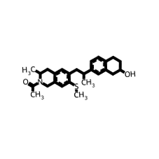 CSc1cc2c(cc1CC(C)c1ccc3c(c1)CC(O)CC3)CC(C)N(C(C)=O)C2